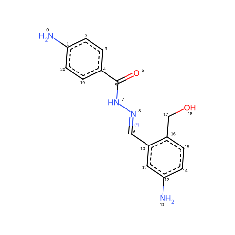 Nc1ccc(C(=O)N/N=C/c2cc(N)ccc2CO)cc1